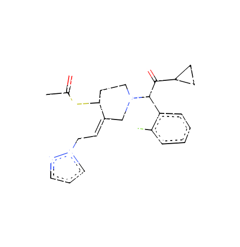 CC(=O)SC1CCN(C(C(=O)C2CC2)c2ccccc2F)C/C1=C/Cn1cccn1